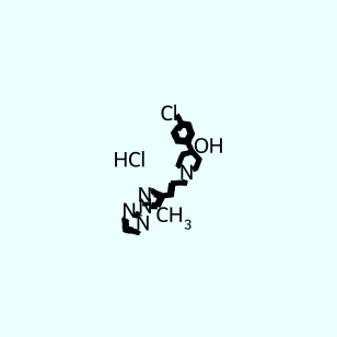 Cc1c(C=CCN2CCC(O)(c3ccc(Cl)cc3)CC2)cnn1-c1ncccn1.Cl